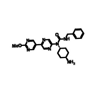 COc1ncc(-c2cnc(N(C(=O)NCc3ccccc3)[C@H]3CC[C@H](N)CC3)cn2)cn1